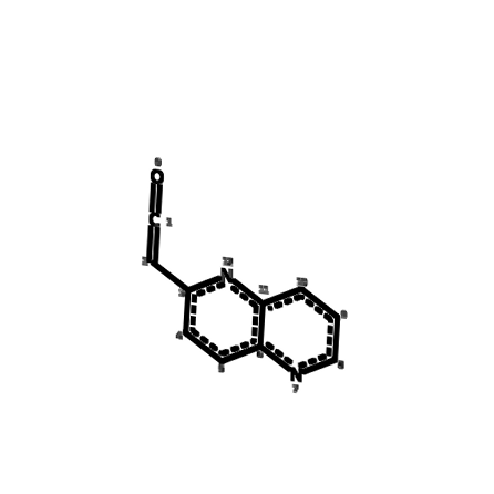 O=C=Cc1ccc2ncccc2n1